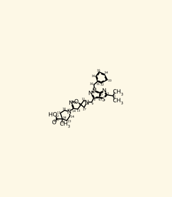 CC(C)c1nc2c(s1)c(CN1CC3(CC(N4CCC(C)(C(=O)O)CC4)=NO3)C1)nn2Cc1ccccc1